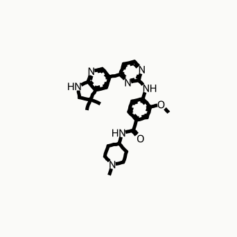 COc1cc(C(=O)NC2CCN(C)CC2)ccc1Nc1nccc(-c2cnc3c(c2)C(C)(C)CN3)n1